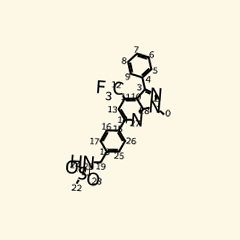 Cn1nc(-c2ccccc2)c2c(C(F)(F)F)cc(-c3ccc(CNS(C)(=O)=O)cc3)nc21